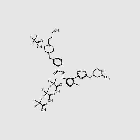 C[C@H]1CN(Cc2cccc(-c3cc(CNC(=O)c4cccc(CN5CCN(CCCC#N)CC5)c4)ccc3F)c2)CCN1.O=C(O)C(F)(F)F.O=C(O)C(F)(F)F.O=C(O)C(F)(F)F.O=C(O)C(F)(F)F